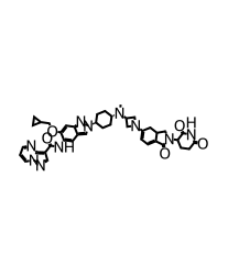 CN(C1CN(C2=CC=C3C(=O)N(C4CCC(=O)NC4=O)CC3C2)C1)[C@H]1CC[C@H](n2cc3cc(NC(=O)c4cnn5cccnc45)c(OCC4CC4)cc3n2)CC1